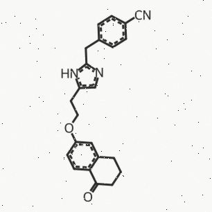 N#Cc1ccc(Cc2ncc(CCOc3ccc4c(c3)CCCC4=O)[nH]2)cc1